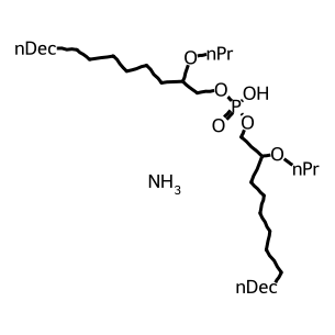 CCCCCCCCCCCCCCCCC(COP(=O)(O)OCC(CCCCCCCCCCCCCCCC)OCCC)OCCC.N